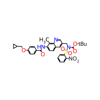 Cc1c(NC(=O)c2ccc(OCC3CC3)cc2)ccc2cc(CN(C(=O)OC(C)(C)C)S(=O)(=O)c3ccccc3[N+](=O)[O-])cnc12